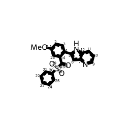 COc1ccc(-c2cc3ncccc3[nH]2)c(C(=O)S(=O)(=O)c2ccccc2)c1